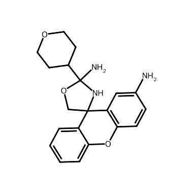 Nc1ccc2c(c1)C1(COC(N)(C3CCOCC3)N1)c1ccccc1O2